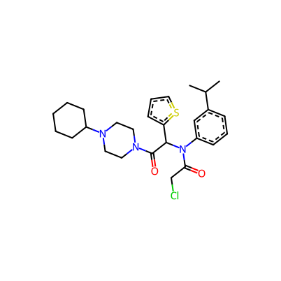 CC(C)c1cccc(N(C(=O)CCl)C(C(=O)N2CCN(C3CCCCC3)CC2)c2cccs2)c1